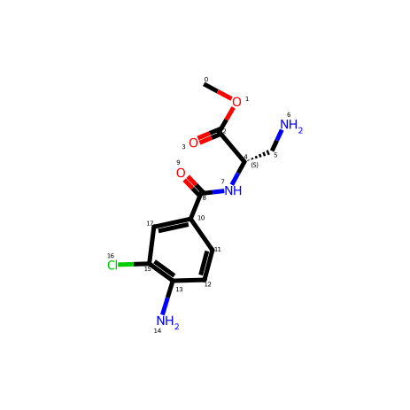 COC(=O)[C@H](CN)NC(=O)c1ccc(N)c(Cl)c1